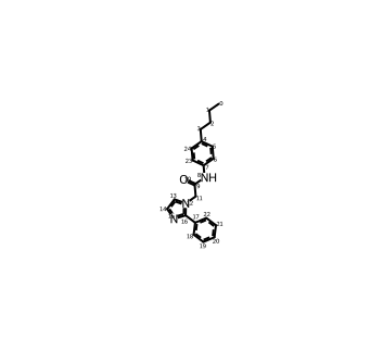 CCCCc1ccc(NC(=O)Cn2ccnc2-c2ccccc2)cc1